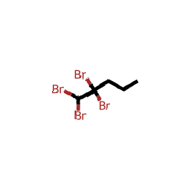 CCCC(Br)(Br)[C](Br)Br